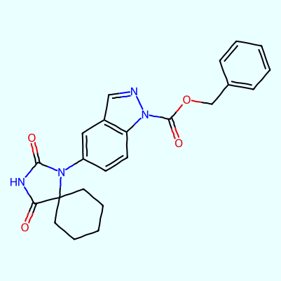 O=C1NC(=O)C2(CCCCC2)N1c1ccc2c(cnn2C(=O)OCc2ccccc2)c1